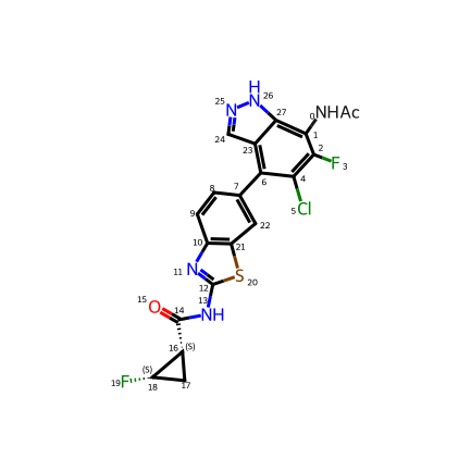 CC(=O)Nc1c(F)c(Cl)c(-c2ccc3nc(NC(=O)[C@@H]4C[C@@H]4F)sc3c2)c2cn[nH]c12